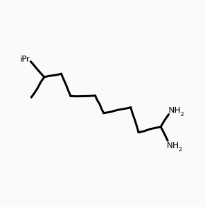 CC(C)C(C)CCCCCCC(N)N